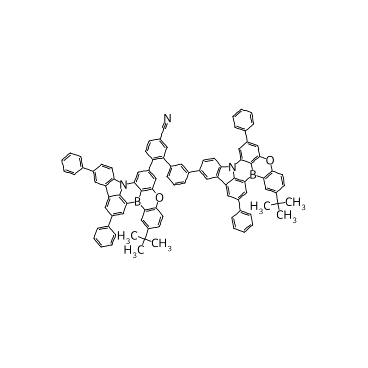 CC(C)(C)c1ccc2c(c1)B1c3c(cc(-c4ccccc4)cc3-n3c4ccc(-c5cccc(-c6cc(C#N)ccc6-c6cc7c8c(c6)-n6c9ccc(-c%10ccccc%10)cc9c9cc(-c%10ccccc%10)cc(c96)B8c6cc(C(C)(C)C)ccc6O7)c5)cc4c4cc(-c5ccccc5)cc1c43)O2